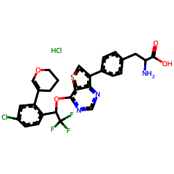 Cl.NC(Cc1ccc(-c2csc3c(OC(c4ccc(Cl)cc4C4=COCCC4)C(F)(F)F)ncnc23)cc1)C(=O)O